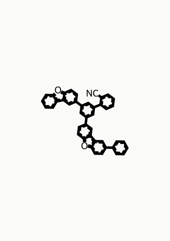 N#Cc1ccccc1-c1cc(-c2ccc3oc4ccccc4c3c2)cc(-c2ccc3oc4ccc(-c5ccccc5)cc4c3c2)c1